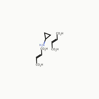 NC1CC1.O=C(O)/C=C/C(=O)O.O=C(O)/C=C/C(=O)O